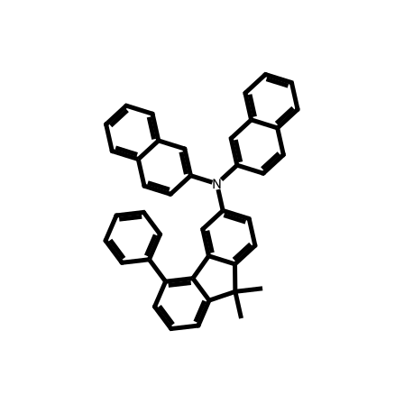 CC1(C)c2ccc(N(c3ccc4ccccc4c3)c3ccc4ccccc4c3)cc2-c2c(-c3ccccc3)cccc21